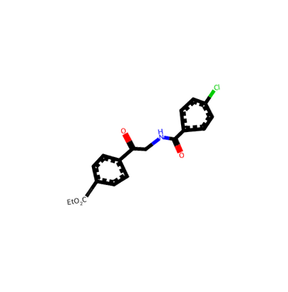 CCOC(=O)c1ccc(C(=O)CNC(=O)c2ccc(Cl)cc2)cc1